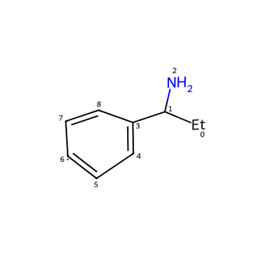 CCC(N)c1cc[c]cc1